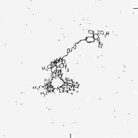 CC[C@H]1OC(=O)[C@H](C)[C@@H](O[C@H]2C[C@@](C)(OC)[C@@H](NC(=O)CCOCCOCCCc3ccc4c(c3)c(=O)c(C(=O)O)cn4CC)[C@H](C)O2)[C@H](C)[C@@H](O[C@@H]2O[C@H](C)C[C@H](N(C)C)[C@H]2O)[C@](C)(O)C[C@@H](C)CN(C)[C@H](C)[C@@H](O)[C@]1(C)O